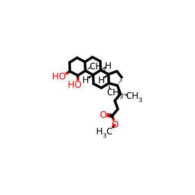 COC(=O)CC[C@@H](C)[C@H]1CC[C@H]2[C@@H]3CCC4CCC(O)C(O)[C@]4(C)[C@H]3CC[C@]12C